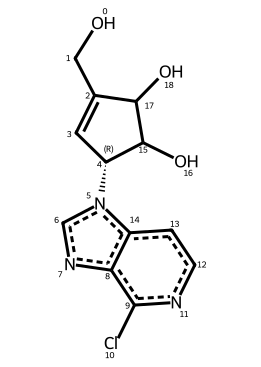 OCC1=C[C@@H](n2cnc3c(Cl)nccc32)C(O)C1O